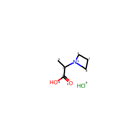 CC(C(=O)O)N1CCC1.Cl